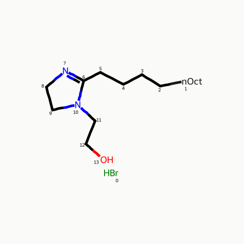 Br.CCCCCCCCCCCCC1=NCCN1CCO